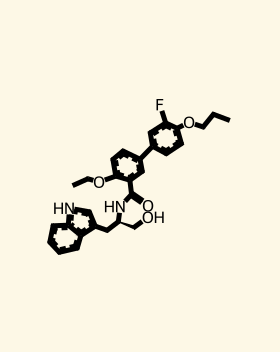 CCCOc1ccc(-c2ccc(OCC)c(C(=O)N[C@@H](CO)Cc3c[nH]c4ccccc34)c2)cc1F